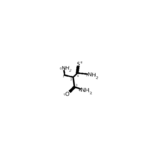 NCC(C(N)=O)C(N)=S